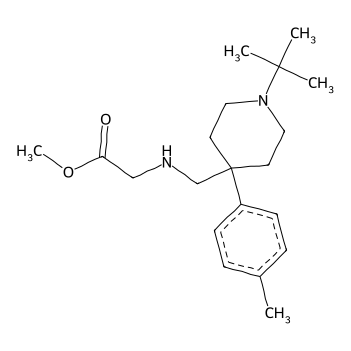 COC(=O)CNCC1(c2ccc(C)cc2)CCN(C(C)(C)C)CC1